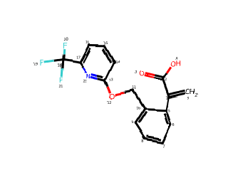 C=C(C(=O)O)c1ccccc1COc1cccc(C(F)(F)F)n1